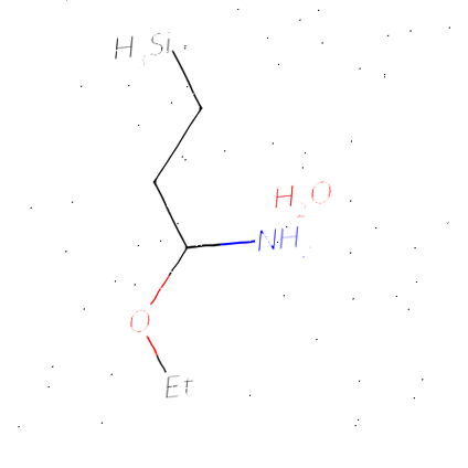 CCOC(N)CC[SiH3].O